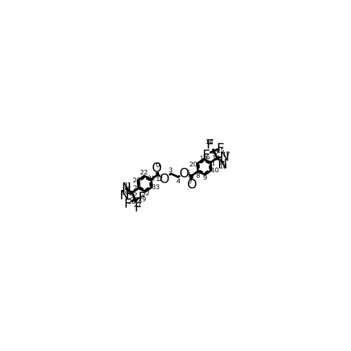 O=C(OCCOC(=O)c1ccc(C2(C(F)(F)F)N=N2)cc1)c1ccc(C2(C(F)(F)F)N=N2)cc1